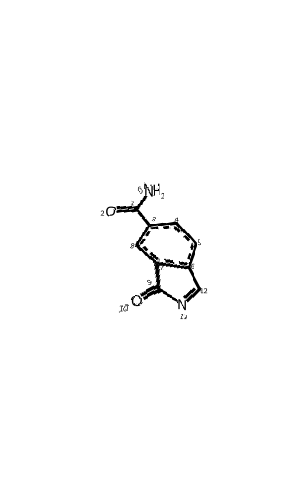 NC(=O)c1ccc2c(c1)C(=O)N=C2